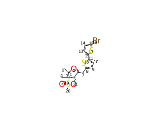 CC(=O)C(C)(CCCc1ccc(-c2ccc(Br)s2)s1)S(C)(=O)=O